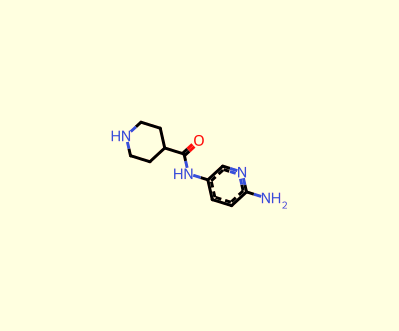 Nc1ccc(NC(=O)C2CCNCC2)cn1